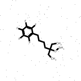 CCC(CC)(CCCCc1c(F)c(F)c(F)c(F)c1F)O[SiH3]